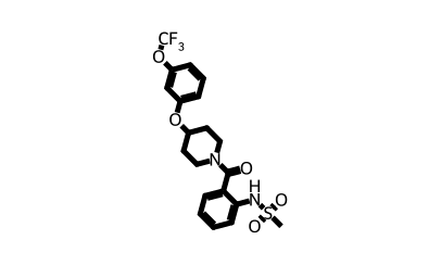 CS(=O)(=O)Nc1ccccc1C(=O)N1CCC(Oc2cccc(OC(F)(F)F)c2)CC1